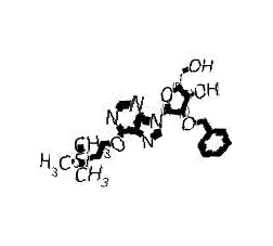 C[Si](C)(C)CCOc1ncnc2c1ncn2[C@@H]1O[C@H](CO)[C@@H](O)[C@H]1OCc1ccccc1